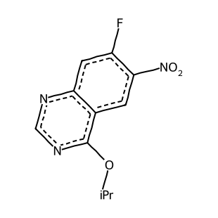 CC(C)Oc1ncnc2cc(F)c([N+](=O)[O-])cc12